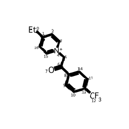 CCc1cc[n+](CC(=O)c2ccc(C(F)(F)F)cc2)cc1